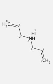 C=CCNCC=C.I